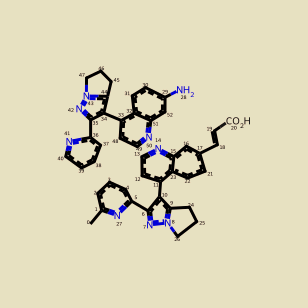 Cc1cccc(-c2nn3c(c2-c2ccnc4cc(C=CC(=O)O)ccc24)CCC3)n1.Nc1ccc2c(-c3c(-c4ccccn4)nn4c3CCC4)ccnc2c1